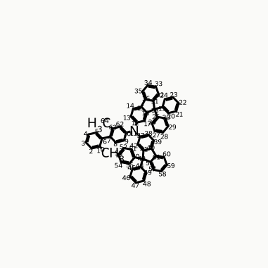 Cc1ccccc1-c1ccc(N(c2ccc3c(c2)C(c2ccccc2)(c2ccccc2)c2ccccc2-3)c2ccc3c(c2)C(c2ccccc2)(c2ccccc2)c2ccccc2-3)cc1C